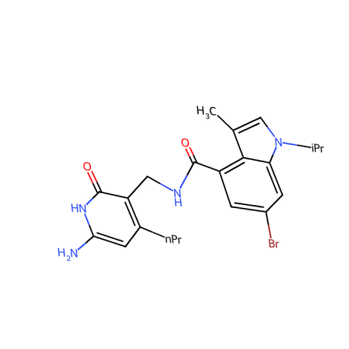 CCCc1cc(N)[nH]c(=O)c1CNC(=O)c1cc(Br)cc2c1c(C)cn2C(C)C